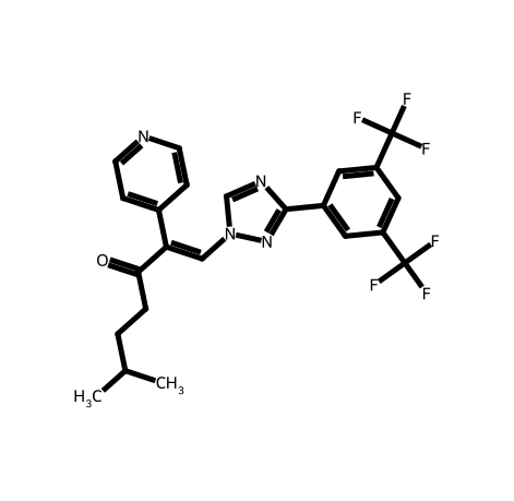 CC(C)CCC(=O)/C(=C/n1cnc(-c2cc(C(F)(F)F)cc(C(F)(F)F)c2)n1)c1ccncc1